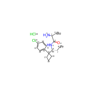 CCC(C)C(N)C(=O)N[C@H](CC(C)C)C1(c2ccc(Cl)cc2)CCC1.Cl